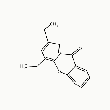 CCc1cc(CC)c2oc3ccccc3c(=O)c2c1